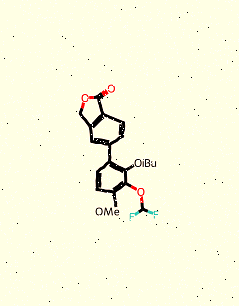 COc1ccc(-c2ccc3c(c2)COC3=O)c(OCC(C)C)c1OC(F)F